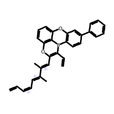 C=C\C=C/C=C(C)/C(C)=C/C1=C(C=C)B2c3ccc(-c4ccccc4)cc3Oc3cccc(c32)O1